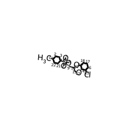 Cc1ccc(S(=O)(=O)OCC2COc3c(Cl)cccc3O2)cc1